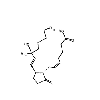 CCCCCC(C)(O)C=C[C@@H]1CCC(=O)[C@H]1C/C=C\CCCC(=O)O